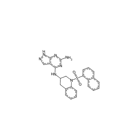 Nc1nc(NC2Cc3ccccc3N(S(=O)(=O)c3cccc4ccccc34)C2)c2cn[nH]c2n1